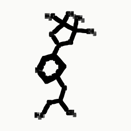 COC(C)Oc1cncc(B2OC(C)(C)C(C)(C)O2)c1